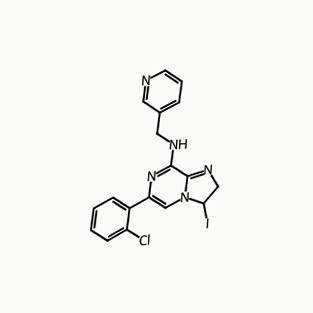 Clc1ccccc1C1=CN2C(=NCC2I)C(NCc2cccnc2)=N1